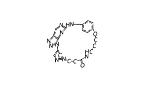 O=C1CCn2cc(cn2)-n2nnc3cnc(nc32)Nc2ccc(cc2)OCCCN1